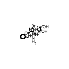 [2H]N1c2c(nc(Br)n2[C@@H]2O[C@H](CO)[C@@H](O)[C@H]2O)C(=O)N(Cc2ccccc2)C1N